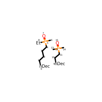 CCCCCCCCCCCCCCP(C)(=O)CC.CCCCCCCCCCCCP(C)(C)=O